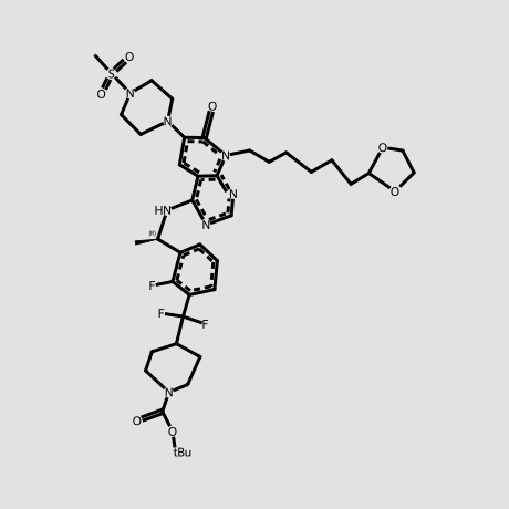 C[C@@H](Nc1ncnc2c1cc(N1CCN(S(C)(=O)=O)CC1)c(=O)n2CCCCCCC1OCCO1)c1cccc(C(F)(F)C2CCN(C(=O)OC(C)(C)C)CC2)c1F